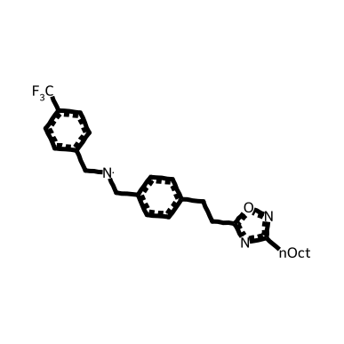 CCCCCCCCc1noc(CCc2ccc(C[N]Cc3ccc(C(F)(F)F)cc3)cc2)n1